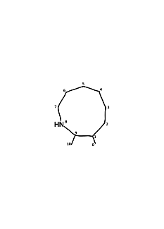 CC1CCCCCCNC1C